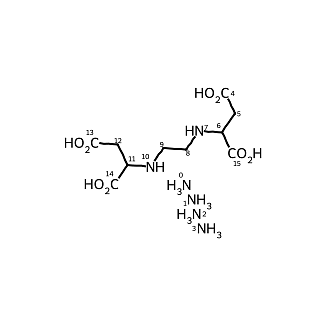 N.N.N.N.O=C(O)CC(NCCNC(CC(=O)O)C(=O)O)C(=O)O